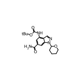 CC(C)(C)OC(=O)Nc1cc(C(N)=O)cc2c1cnn2C1CCCCO1